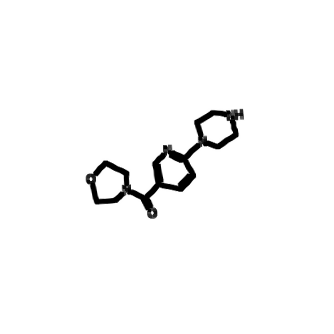 O=C(c1ccc(N2CCNCC2)nc1)N1CCOCC1